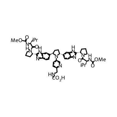 COC(=O)N[C@H](C(=O)N1CCC[C@H]1c1nc2ccc([C@H]3CC[C@H](c4ccc5nc([C@@H]6CCCN6C(=O)[C@@H](NC(=O)OC)C(C)C)[nH]c5c4)N3c3ccc(CNC(=O)O)nc3)cc2[nH]1)C(C)C